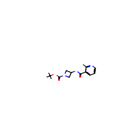 CC(C)(C)OC(=O)N1CC(NC(=O)c2cccnc2Br)C1